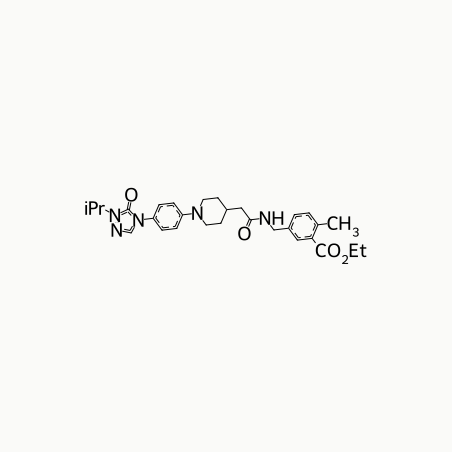 CCOC(=O)c1cc(CNC(=O)CC2CCN(c3ccc(-n4cnn(C(C)C)c4=O)cc3)CC2)ccc1C